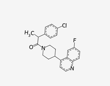 CC(C(=O)N1CCC(c2ccnc3ccc(F)cc23)CC1)c1ccc(Cl)cc1